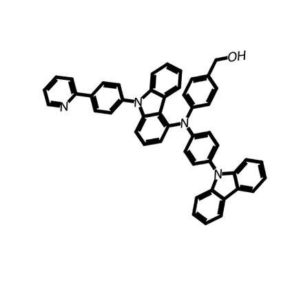 OCc1ccc(N(c2ccc(-n3c4ccccc4c4ccccc43)cc2)c2cccc3c2c2ccccc2n3-c2ccc(-c3ccccn3)cc2)cc1